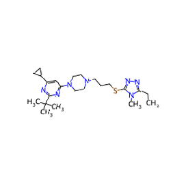 CCc1nnc(SCCCN2CCN(c3cc(C4CC4)nc(C(C)(C)C)n3)CC2)n1C